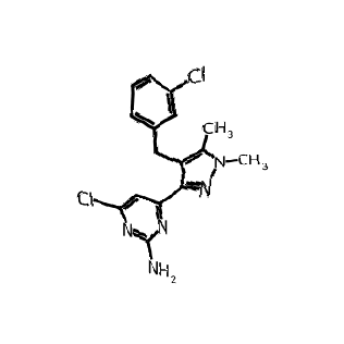 Cc1c(Cc2cccc(Cl)c2)c(-c2cc(Cl)nc(N)n2)nn1C